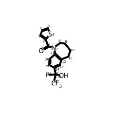 O=C(c1cccs1)N1CCCCc2cc(C(O)(F)C(F)(F)F)ccc21